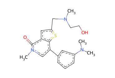 CN(CCO)Cc1cc2c(=O)n(C)cc(-c3cccc(N(C)C)c3)c2s1